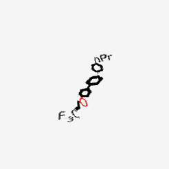 CCC[C@H]1CC[C@H](c2ccc(-c3ccc(OCCCC(F)(F)F)cc3)cc2)CC1